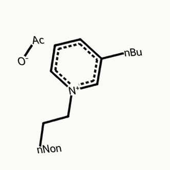 CC(=O)[O-].CCCCCCCCCCC[n+]1cccc(CCCC)c1